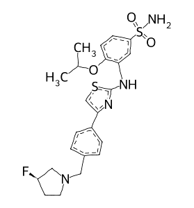 CC(C)Oc1ccc(S(N)(=O)=O)cc1Nc1nc(-c2ccc(CN3CC[C@@H](F)C3)cc2)cs1